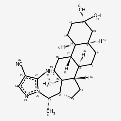 C[C@@H]([C@H]1CC[C@H]2[C@@H]3CC[C@@H]4C[C@](C)(O)CC[C@@H]4[C@H]3CC[C@]12C)n1ncc(C#N)c1N